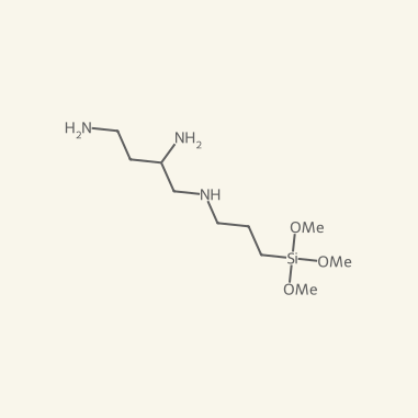 CO[Si](CCCNCC(N)CCN)(OC)OC